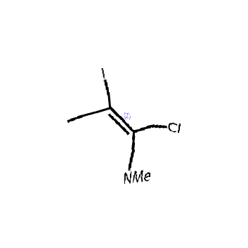 CN/C(Cl)=C(\C)I